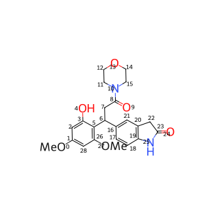 COc1cc(O)c(C(CC(=O)N2CCOCC2)c2ccc3c(c2)CC(=O)N3)c(OC)c1